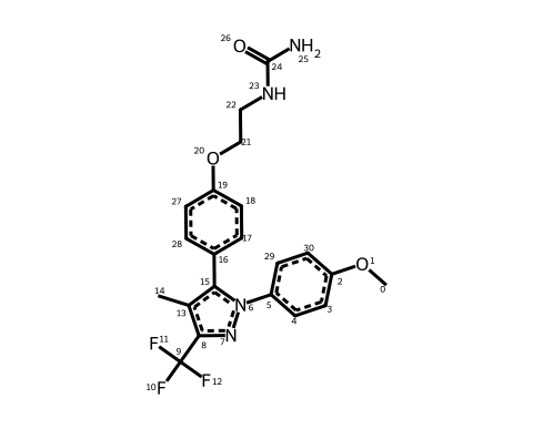 COc1ccc(-n2nc(C(F)(F)F)c(C)c2-c2ccc(OCCNC(N)=O)cc2)cc1